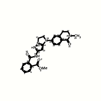 COC(=O)c1ccccc1C(=O)Nc1cc2n(n1)CCN2c1ccc2c(c1)CCN(C)C2=O